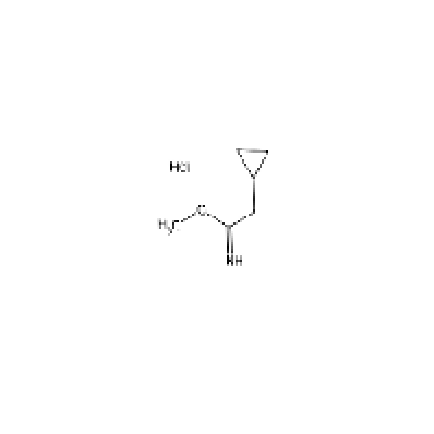 COC(=N)CC1CC1.Cl